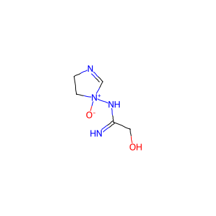 N=C(CO)N[N+]1([O-])C=NCC1